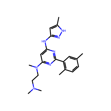 Cc1ccc(C)c(-c2nc(Nc3cc(C)[nH]n3)cc(N(C)CCN(C)C)n2)c1